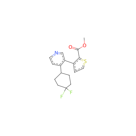 COC(=O)c1sccc1-c1cnccc1C1CCC(F)(F)CC1